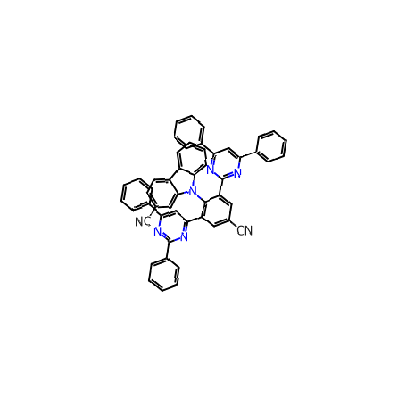 N#Cc1cc(-c2cc(-c3ccccc3)nc(-c3ccccc3)n2)c(-n2c3ccccc3c3ccc(C#N)cc32)c(-c2nc(-c3ccccc3)cc(-c3ccccc3)n2)c1